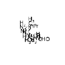 CC(C)[C@H](C)N1C=C(c2cc(C(C)(C)CNC=O)n(C)n2)c2[nH]nc(N)c2C1